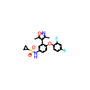 Cc1noc(C)c1-c1cc(NS(=O)(=O)C2CC2)ccc1Oc1ccc(F)cc1F